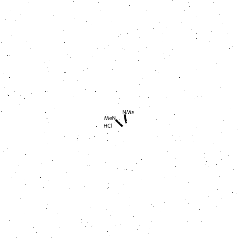 CNC.CNC.Cl